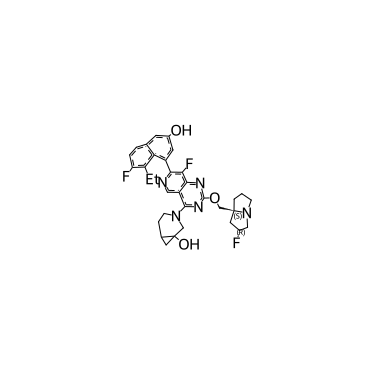 CCc1c(F)ccc2cc(O)cc(-c3ncc4c(N5CCC6CC6(O)C5)nc(OC[C@@]56CCCN5C[C@H](F)C6)nc4c3F)c12